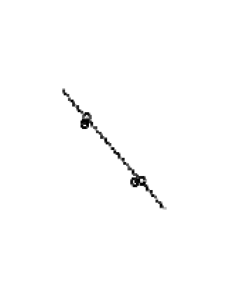 CCCCCCCCCCOC(=O)CCCCCCCCCCCCCCCCCCCCCC(=O)OCCCCCCCCCC